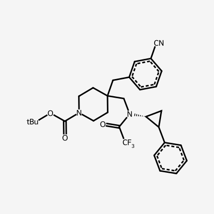 CC(C)(C)OC(=O)N1CCC(Cc2cccc(C#N)c2)(CN(C(=O)C(F)(F)F)[C@@H]2CC2c2ccccc2)CC1